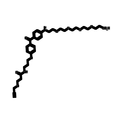 C#CCOCCC(=O)NCCCOc1ccc(C(=O)c2ccc(NCCOCCOCCOCCOCCC(=O)O)cc2)cc1